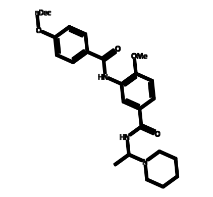 CCCCCCCCCCOc1ccc(C(=O)Nc2cc(C(=O)NC(C)N3CCCCC3)ccc2OC)cc1